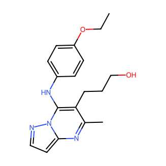 CCOc1ccc(Nc2c(CCCO)c(C)nc3ccnn23)cc1